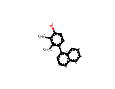 O=Cc1c(O)ccc(-c2cccc3ccccc23)c1C=O